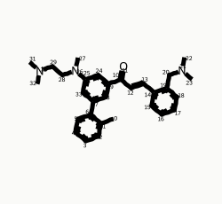 Cc1ccccc1-c1cc(C(=O)C=Cc2ccccc2CN(C)C)cc(N(C)CCN(C)C)c1